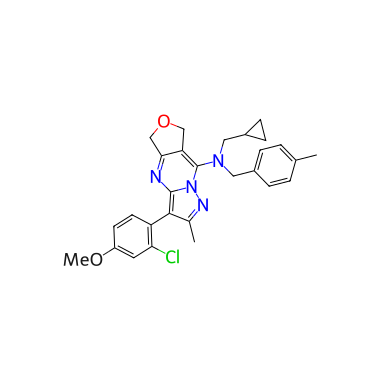 COc1ccc(-c2c(C)nn3c(N(Cc4ccc(C)cc4)CC4CC4)c4c(nc23)COC4)c(Cl)c1